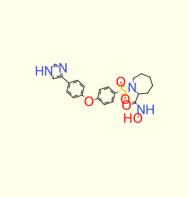 O=C(NO)C1CCCCCN1S(=O)(=O)c1ccc(Oc2ccc(-c3c[nH]cn3)cc2)cc1